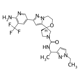 CCn1ccc(C(C)NC(=O)N2CC[C@]3(C2)OCCn2nc(-c4cnc(N)c(C(F)(F)F)c4)cc23)n1